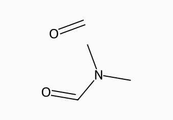 C=O.CN(C)C=O